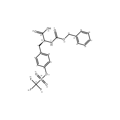 O=C(N[C@@H](Cc1ccc(OS(=O)(=O)C(F)(F)F)cc1)C(=O)O)OCc1ccccc1